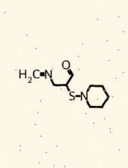 C=NCC(C=O)SN1CCCCC1